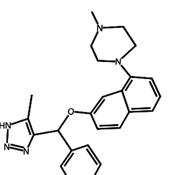 Cc1[nH]nnc1C(Oc1ccc2cccc(N3CCN(C)CC3)c2c1)c1ccccc1